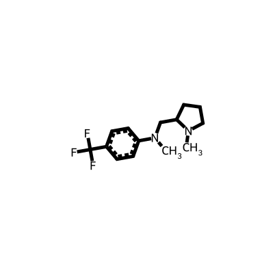 CN(CC1CCCN1C)c1ccc(C(F)(F)F)cc1